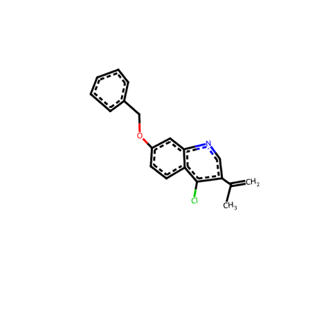 C=C(C)c1cnc2cc(OCc3ccccc3)ccc2c1Cl